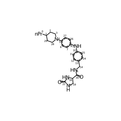 CCCC1CCN(c2ccc(Nc3ccc(CNC(=O)C4CNC(=O)N4)cc3)cc2)CC1